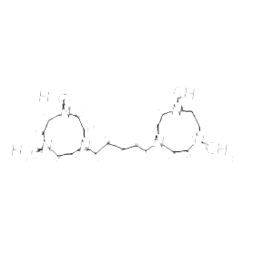 CN1CCN(C)CCN(CCCCCN2CCN(C)CCN(C)CC2)CC1